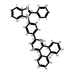 c1ccc(-c2nc3ccccc3n2-c2ccc(-c3cnc4c5ccccc5c5ccccc5c4n3)cc2)cc1